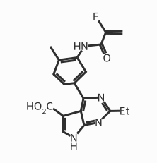 C=C(F)C(=O)Nc1cc(-c2nc(CC)nc3[nH]cc(C(=O)O)c23)ccc1C